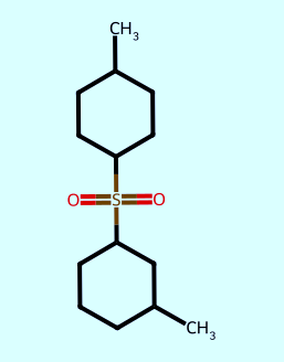 CC1CCC(S(=O)(=O)C2CCCC(C)C2)CC1